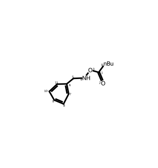 CCCCC(=O)ONCc1ccccc1